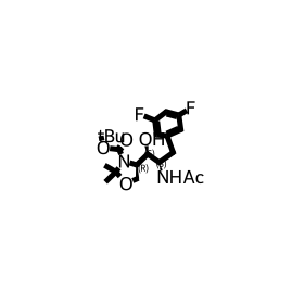 CC(=O)N[C@@H](Cc1cc(F)cc(F)c1)[C@H](O)[C@H]1COC(C)(C)N1C(=O)OC(C)(C)C